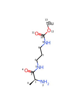 C[C@H](N)C(=O)NCCCNC(=O)OC(C)(C)C